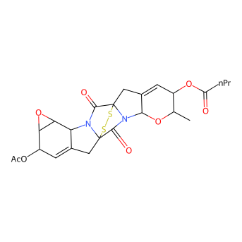 CCCC(=O)OC1C=C2CC34SSC5(CC6=CC(OC(C)=O)C7OC7C6N5C3=O)C(=O)N4C2OC1C